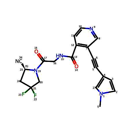 Cn1ccc(C#Cc2cnccc2C(=O)NCC(=O)N2CC(F)(F)C[C@H]2C#N)c1